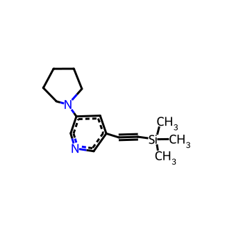 C[Si](C)(C)C#Cc1cncc(N2CCCCC2)c1